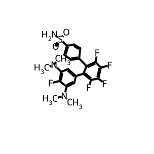 CN(C)c1cc(-c2c(F)c(F)c(F)c(F)c2-c2ccc(S(N)(=O)=O)cc2)cc(N(C)C)c1F